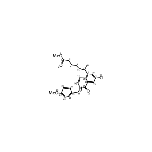 COC(=O)CCCOC(C)c1cc(Cl)cc2c(=O)n(Cc3ccc(OC)cc3)ncc12